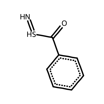 N=[SH]C(=O)c1ccccc1